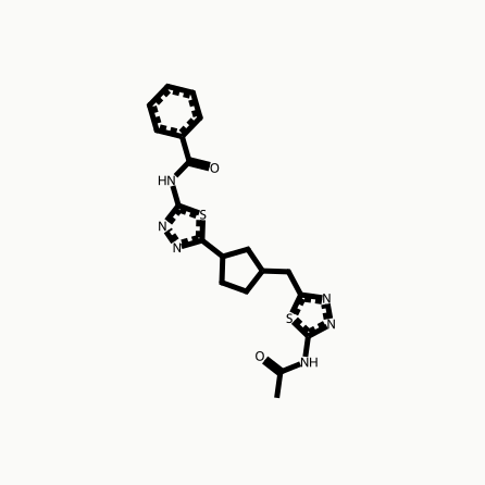 CC(=O)Nc1nnc(CC2CCC(c3nnc(NC(=O)c4ccccc4)s3)C2)s1